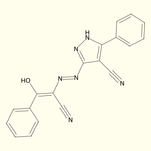 N#CC(/N=N/c1n[nH]c(-c2ccccc2)c1C#N)=C(/O)c1ccccc1